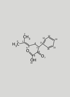 CC(C)=CCC(C(=O)C(=O)O)c1ccccc1